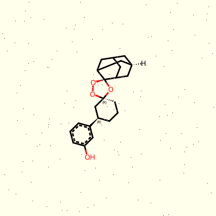 Oc1cccc([C@@H]2CCC[C@]3(C2)OO[C@]2(O3)C3CC4CC2C[C@@H](C4)C3)c1